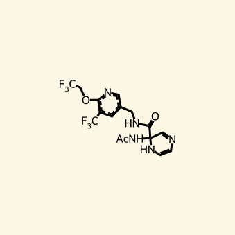 CC(=O)NC1(C(=O)NCc2cnc(OCC(F)(F)F)c(C(F)(F)F)c2)C=NC=CN1